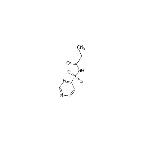 CCC(=O)NS(=O)(=O)c1ccncn1